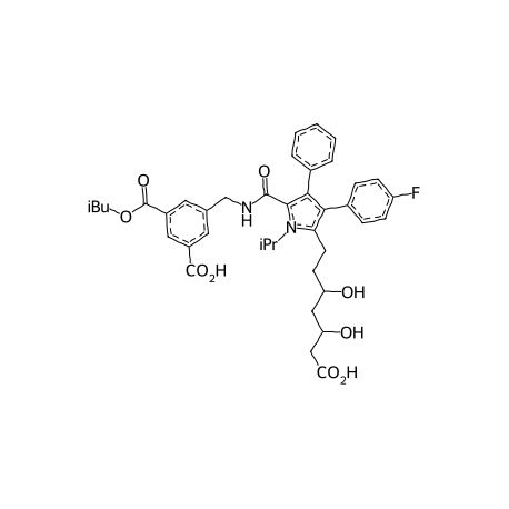 CCC(C)OC(=O)c1cc(CNC(=O)c2c(-c3ccccc3)c(-c3ccc(F)cc3)c(CCC(O)CC(O)CC(=O)O)n2C(C)C)cc(C(=O)O)c1